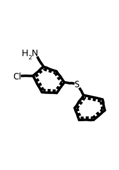 Nc1cc(Sc2ccccc2)ccc1Cl